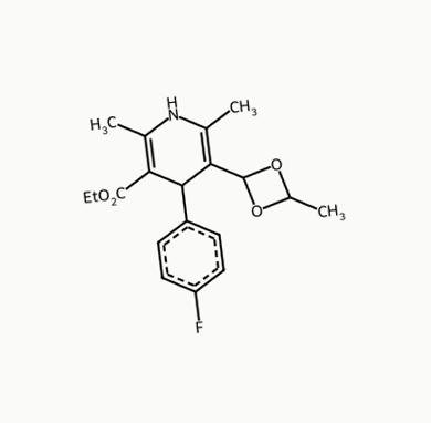 CCOC(=O)C1=C(C)NC(C)=C(C2OC(C)O2)C1c1ccc(F)cc1